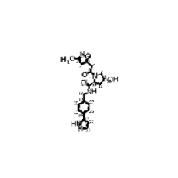 Cc1cc(CC(=O)N2C[C@H](O)C[C@H]2C(=O)NCc2ccc(-c3ccn[nH]3)cc2)on1